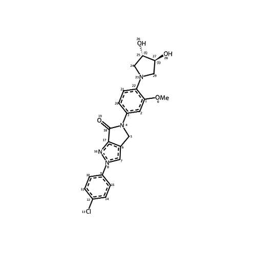 COc1cc(N2Cc3cn(-c4ccc(Cl)cc4)nc3C2=O)ccc1N1C[C@H](O)[C@@H](O)C1